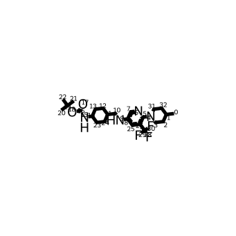 CC1CCN(c2ncc(NCC3CCC(NC(=O)OC(C)(C)C)CC3)cc2C(F)(F)F)CC1